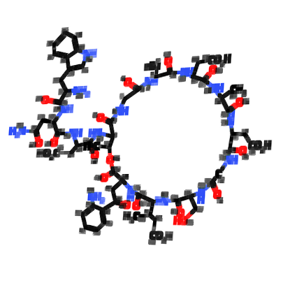 CCCCC1NC(=O)CNC(=O)C(NC(=O)C(CC(=O)O)NC(=O)[C@@H](CC(N)=O)NC(=O)[C@H](N)Cc2c[nH]c3ccccc23)C(C)OC(=O)C(CC(=O)c2ccccc2N)NC(=O)C(C(C)CC(=O)O)NC(=O)C(CO)NC(=O)CNC(=O)C(CC(=O)O)NC(=O)C(C)NC(=O)C(CC(=O)O)NC1=O